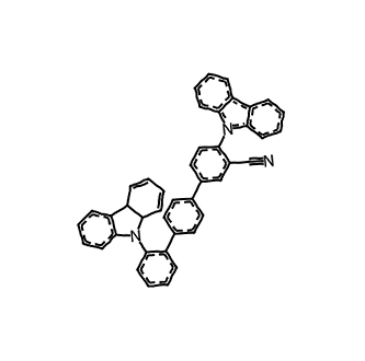 N#Cc1cc(-c2ccc(-c3ccccc3N3c4ccccc4C4C=CC=CC43)cc2)ccc1-n1c2ccccc2c2ccccc21